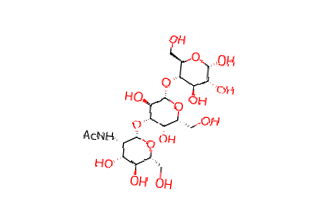 CC(=O)N[C@@H]1[C@H](O[C@H]2[C@@H](O)[C@@H](CO)O[C@@H](O[C@H]3[C@H](O)[C@@H](O)[C@@H](O)O[C@@H]3CO)[C@@H]2O)O[C@H](CO)[C@@H](O)[C@@H]1O